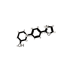 OC1CCCN(c2ccc(-c3ncco3)cc2)C1